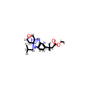 CCOC(=O)CC(C)(C)c1ccc(N(CC(C)C)C2CCOCC2)c(N)c1